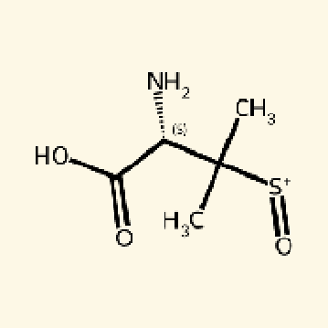 CC(C)([S+]=O)[C@@H](N)C(=O)O